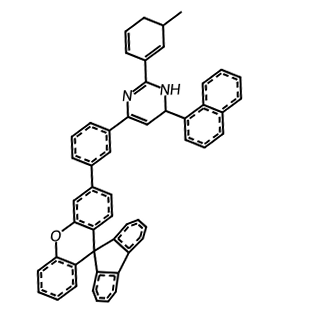 CC1C=C(C2=NC(c3cccc(-c4ccc5c(c4)Oc4ccccc4C54c5ccccc5-c5ccccc54)c3)=CC(c3cccc4ccccc34)N2)C=CC1